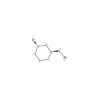 CC(=O)S[C@H]1CCC[S@@+]([O-])C1